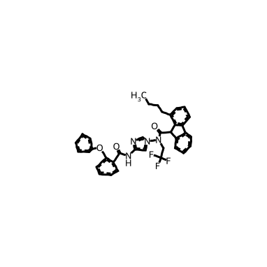 CCCCc1cccc2c1C(C(=O)N(CC(F)(F)F)n1cnc(NC(=O)c3ccccc3Oc3ccccc3)c1)c1ccccc1-2